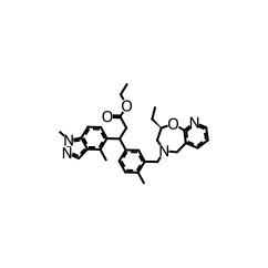 CCOC(=O)CC(c1ccc(C)c(CN2Cc3cccnc3O[C@H](CC)C2)c1)c1ccc2c(cnn2C)c1C